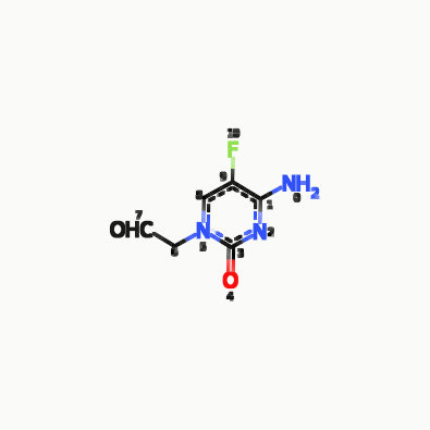 Nc1nc(=O)n(CC=O)cc1F